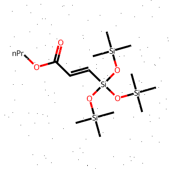 CCCOC(=O)C=C[Si](O[Si](C)(C)C)(O[Si](C)(C)C)O[Si](C)(C)C